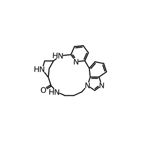 O=C1NCCCn2cnc3cccc(c32)-c2cccc(n2)NC2CNC1C2